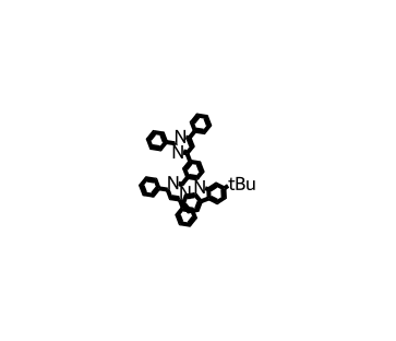 CC(C)(C)c1ccc2c3ccccc3n(-c3ccc(-c4cc(-c5ccccc5)nc(-c5ccccc5)n4)cc3-c3nc(-c4ccccc4)cc(-c4ccccc4)n3)c2c1